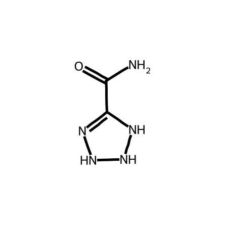 NC(=O)C1=NNNN1